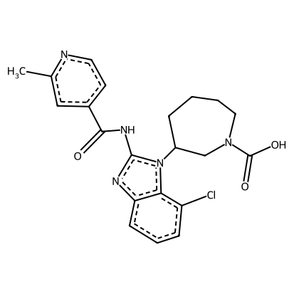 Cc1cc(C(=O)Nc2nc3cccc(Cl)c3n2C2CCCCN(C(=O)O)C2)ccn1